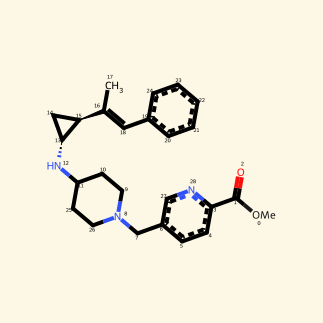 COC(=O)c1ccc(CN2CCC(N[C@@H]3C[C@H]3C(C)=Cc3ccccc3)CC2)cn1